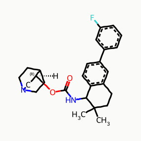 CC1(C)CCc2cc(-c3cccc(F)c3)ccc2C1NC(=O)O[C@H]1CN2CCC1CC2